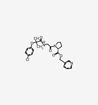 CC(C)(Oc1ccc(Cl)cc1)C(=O)NCC(=O)N1CCC[C@H]1C(=O)OCc1cccnc1